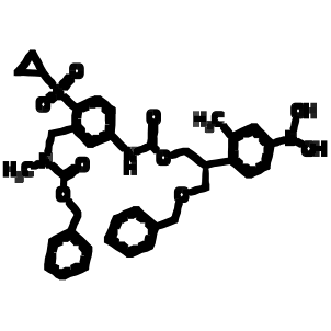 Cc1cc(B(O)O)ccc1[C@@H](COCc1ccccc1)COC(=O)Nc1ccc(S(=O)(=O)C2CC2)c(CN(C)C(=O)OCc2ccccc2)c1